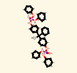 CC(c1ccccc1)(c1ccc(OP(=O)(Oc2ccccc2)Oc2ccccc2)cc1)c1ccc(OP(=O)(Oc2ccccc2)Oc2ccccc2)cc1